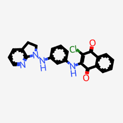 O=C1C(Cl)=C(Nc2cccc(NN3CCc4cccnc43)c2)C(=O)c2ccccc21